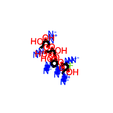 [N-]=[N+]=NCC1OC(OC2C(CO)OC(OC3C(O)C(N=[N+]=[N-])CC(N=[N+]=[N-])C3OC3OC(CN=[N+]=[N-])C(O)C(F)C3N=[N+]=[N-])C2O)C(N=[N+]=[N-])C(O)C1O